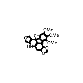 COc1cc(C2(C)C3=C(COC3)NC3=C2C(=O)C2OCOC2=C3)cc(OC)c1OC